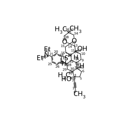 CC#C[C@]1(O)CC[C@H]2[C@@H]3CC[C@@]4(O)CC5(CC[C@@]46Sc4cc(N(CC)CC)ccc4[C@@H](C[C@@]21C)C36)OCC(C)(C)CO5